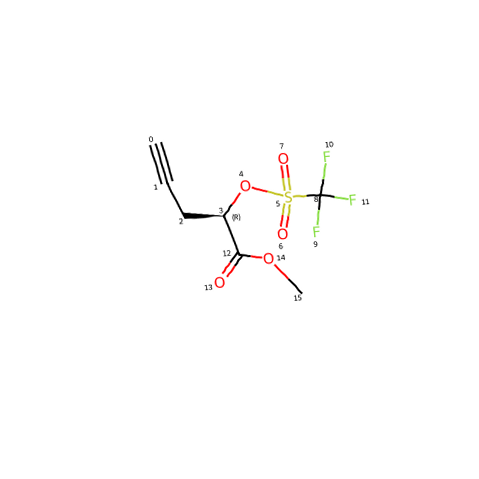 C#CC[C@@H](OS(=O)(=O)C(F)(F)F)C(=O)OC